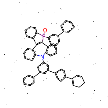 O=P1(c2cccc(-c3ccccc3)c2)C2=C(c3ccccc3N(c3cc(-c4ccccc4)cc(-c4ccc(C5=CCCC=C5)cc4)c3)c3ccccc32)c2ccccc21